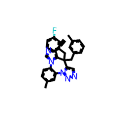 C#Cc1ncn2c1C(Cc1cccc(C)c1)(Cc1cccc(F)c1)c1cnnn1-c1cc(C)ccc1-2